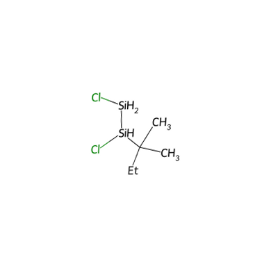 CCC(C)(C)[SiH](Cl)[SiH2]Cl